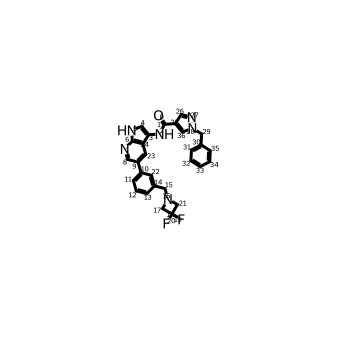 O=C(Nc1c[nH]c2ncc(-c3cccc(CN4CC(F)(F)C4)c3)cc12)c1cnn(Cc2ccccc2)c1